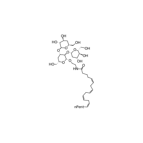 CCCCC/C=C\C/C=C\C/C=C\C/C=C\CCCC(=O)NCCO[C@@H]1O[C@H](CO)C[C@H](O[C@@H]2O[C@H](CO)C[C@H](O)[C@H]2O)[C@H]1O[C@H]1C[C@@H](O)[C@H](O)[C@@H](CO)O1